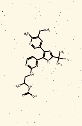 COc1nc(-c2nc(C(C)(C)C)[nH]c2-c2ccnc(NCC(C)NC(=O)O)n2)cnc1N